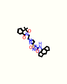 CC1(C)C(=O)N(CCn2ccc(S(N)(=O)=NC(=O)Nc3c4c(cc5c3CCC5)CCC4)n2)C(=O)c2ccccc21